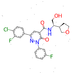 O=C(N[C@@H](CO)[C@H]1CCOC1)c1cc(-c2ccc(Cl)c(F)c2)nn(-c2cccc(F)c2)c1=O